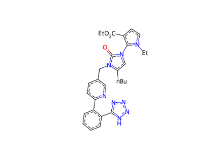 CCCCc1cn(-c2c(C(=O)OCC)ccn2CC)c(=O)n1Cc1ccc(-c2ccccc2-c2nnn[nH]2)nc1